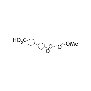 COCCOCCOC(=O)C1CCC(C2CCC(C(=O)O)CC2)CC1